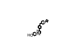 OC1CCN(c2nccc(-c3ccc(C=C4CCN(C5CCC5)CC4)cc3)n2)CC1